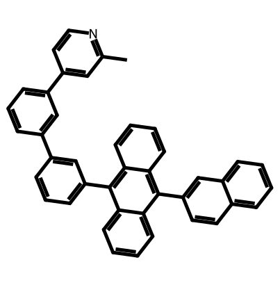 Cc1cc(-c2cccc(-c3cccc(-c4c5ccccc5c(-c5ccc6ccccc6c5)c5ccccc45)c3)c2)ccn1